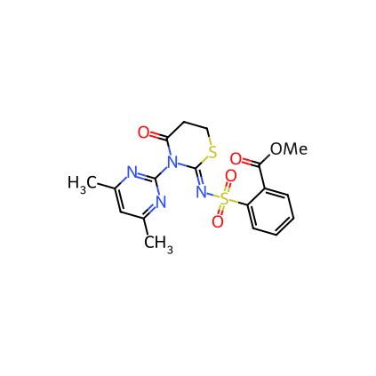 COC(=O)c1ccccc1S(=O)(=O)N=C1SCCC(=O)N1c1nc(C)cc(C)n1